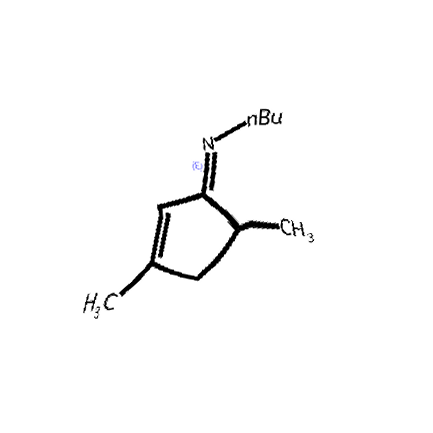 CCCC/N=C1/C=C(C)CC1C